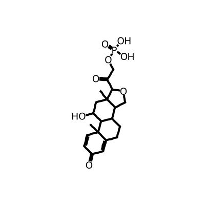 CC12C=CC(=O)C=C1CCC1C2C(O)CC2(C)C(C(=O)COP(=O)(O)O)OCC12